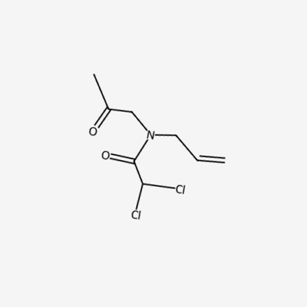 C=CCN(CC(C)=O)C(=O)C(Cl)Cl